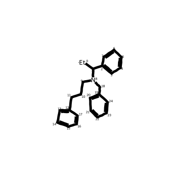 C[CH]C(c1ccccc1)N(CCCc1ccccc1)Cc1ccccc1